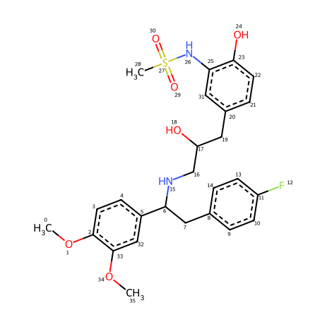 COc1ccc(C(Cc2ccc(F)cc2)NCC(O)Cc2ccc(O)c(NS(C)(=O)=O)c2)cc1OC